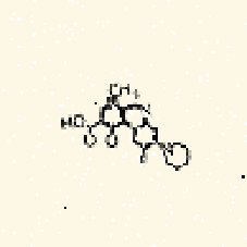 Cn1cc(C(=O)O)c(=O)c2c3cc(F)c(N4CCCCC4)cc3ncc21